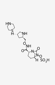 O=C(NOC[C@H]1C[C@H](C[SH]2CCNCC2)CN1)[C@@H]1CC[C@@H]2CN1C(=O)N2OS(=O)(=O)O